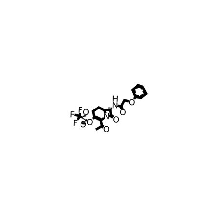 CC(=O)C1=C(OS(=O)(=O)C(F)(F)F)CCC2[C@H](NC(=O)COc3ccccc3)C(=O)N12